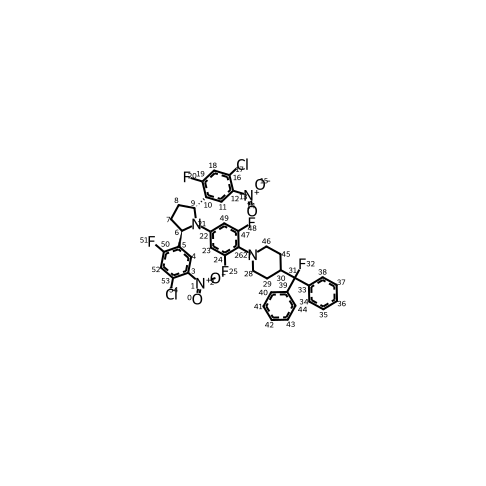 O=[N+]([O-])c1cc([C@H]2CC[C@H](c3cc([N+](=O)[O-])c(Cl)cc3F)N2c2cc(F)c(N3CCC(C(F)(c4ccccc4)c4ccccc4)CC3)c(F)c2)c(F)cc1Cl